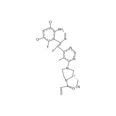 C=CC(=O)N1CCN(c2ncnc(/C(F)=C(\N=C)c3c(N)c(Cl)cc(Cl)c3F)c2C)C[C@@H]1CC#N